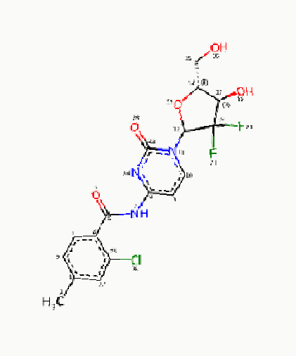 Cc1ccc(C(=O)Nc2ccn(C3O[C@H](CO)[C@@H](O)C3(F)F)c(=O)n2)c(Cl)c1